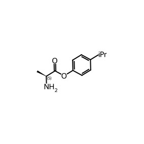 CC(C)c1ccc(OC(=O)[C@H](C)N)cc1